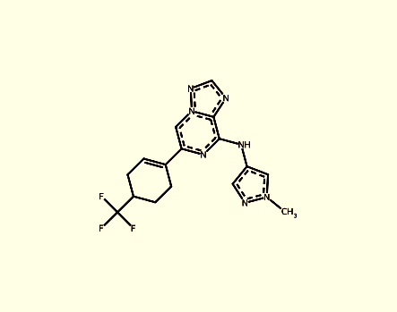 Cn1cc(Nc2nc(C3=CCC(C(F)(F)F)CC3)cn3ncnc23)cn1